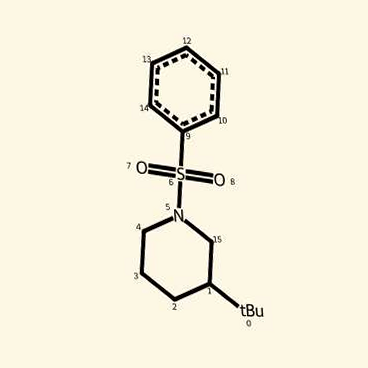 CC(C)(C)C1CCCN(S(=O)(=O)c2ccccc2)C1